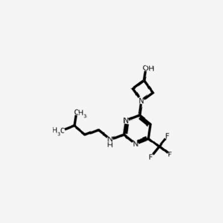 CC(C)CCNc1nc(N2CC(O)C2)cc(C(F)(F)F)n1